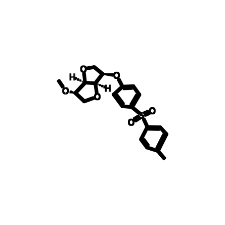 CO[C@H]1CO[C@H]2[C@@H]1OC[C@H]2Oc1ccc(S(=O)(=O)c2ccc(C)cc2)cc1